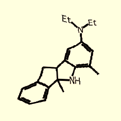 CCN(CC)c1cc(C)c2c(c1)C1Cc3ccccc3C1(C)N2